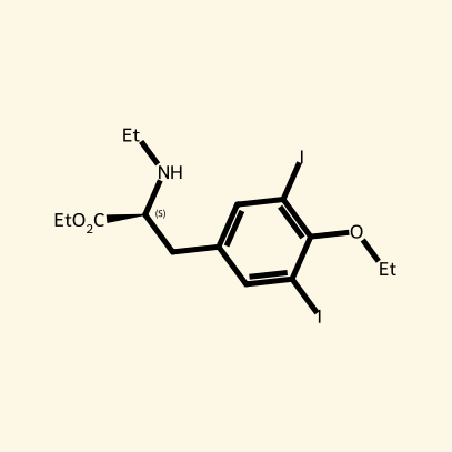 CCN[C@@H](Cc1cc(I)c(OCC)c(I)c1)C(=O)OCC